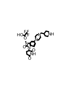 Cn1c(=O)n(C2CCC(=O)NC2=O)c2ccc(N3CCN(CC4CCNCC4)CC3)cc21.O=C(O)C(F)(F)F